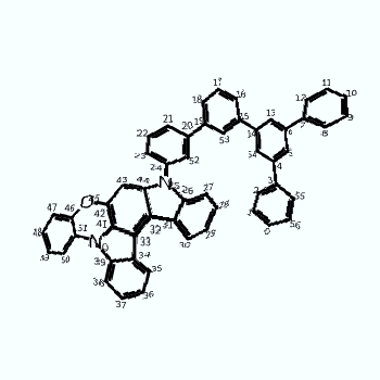 c1ccc(-c2cc(-c3ccccc3)cc(-c3cccc(-c4cccc(-n5c6ccccc6c6c7c8ccccc8n8c7c(cc65)Oc5ccccc5-8)c4)c3)c2)cc1